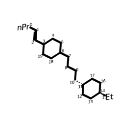 CCC/C=C/C1CCC(CCCC[C@H]2CC[C@H](CC)CC2)CC1